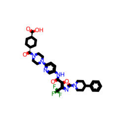 O=C(Nc1ccc(N2CCN(C(=O)[C@H]3CC[C@H](C(=O)O)CC3)CC2)nc1)c1oc(N2CCC(c3ccccc3)CC2)nc1C(F)(F)F